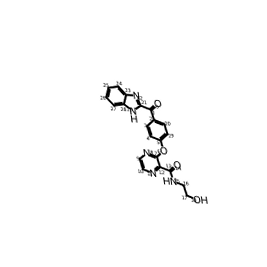 O=C(c1ccc(Oc2nccnc2C(=O)NCCO)cc1)c1nc2ccccc2[nH]1